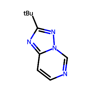 CC(C)(C)c1nc2ccncn2n1